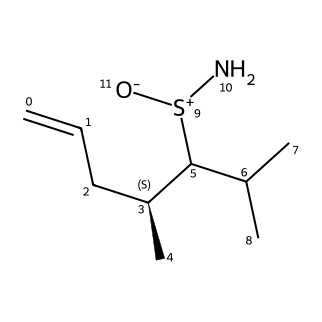 C=CC[C@H](C)C(C(C)C)[S+](N)[O-]